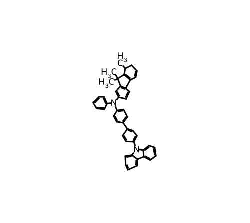 CC1CC=CC2=C1C(C)(C)c1cc(N(c3ccccc3)c3ccc(-c4ccc(-n5c6ccccc6c6ccccc65)cc4)cc3)ccc12